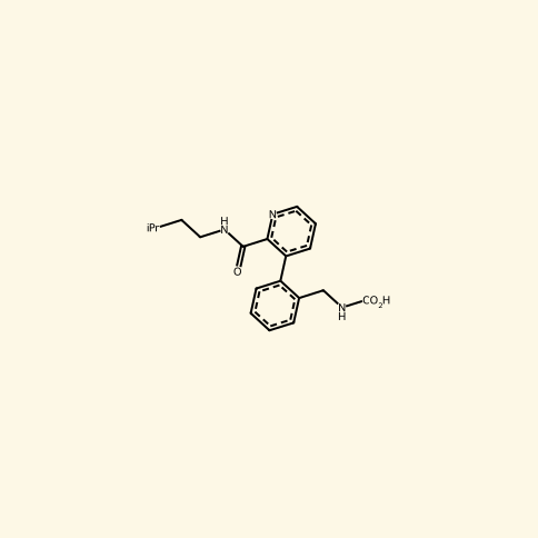 CC(C)CCNC(=O)c1ncccc1-c1ccccc1CNC(=O)O